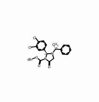 C[C@H](c1ccccc1)N1CC(=O)N(C(=O)OC(C)(C)C)[C@H]1c1ccc(Cl)c(Cl)c1